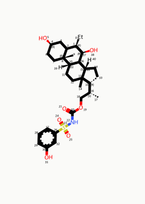 CC[C@@H]1C2C[C@H](O)CC[C@@]2(C)[C@H]2CCC3(C)[C@@H]([C@H](C)COC(=O)NS(=O)(=O)c4cccc(O)c4)CC[C@H]3C2[C@@H]1O